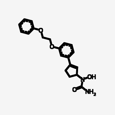 NC(=O)N(O)C1C=C(c2cccc(OCCOc3ccccc3)c2)CC1